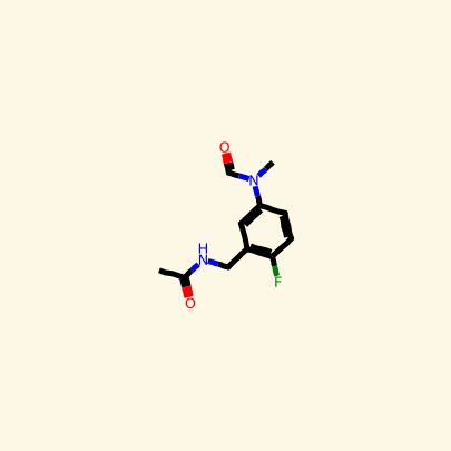 CC(=O)NCc1cc(N(C)C=O)ccc1F